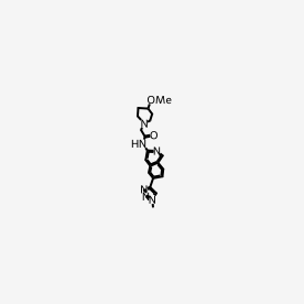 COC1CCN(CC(=O)Nc2cc3cc(-c4cn(C)nn4)ccc3cn2)CC1